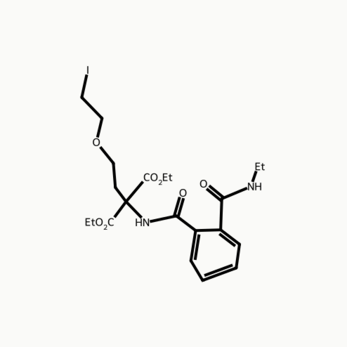 CCNC(=O)c1ccccc1C(=O)NC(CCOCCI)(C(=O)OCC)C(=O)OCC